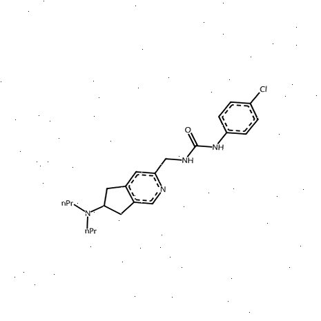 CCCN(CCC)C1Cc2cnc(CNC(=O)Nc3ccc(Cl)cc3)cc2C1